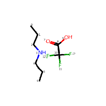 CCCNCCC.O=C(O)C(F)(F)F